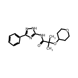 CC(C)(OC1CCOCC1)C(=O)Nc1nc(-c2ccccc2)n[nH]1